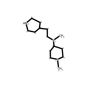 CN1CCC(N(C)CCC2CCNCC2)CC1